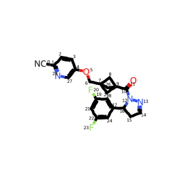 N#Cc1ccc(OCC23CC(C(=O)N4N=CCC4c4cc(F)cc(F)c4)(C2)C3)cn1